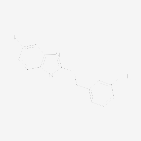 Cc1cccc(CSc2nc3cc(Cl)ccc3[nH]2)c1